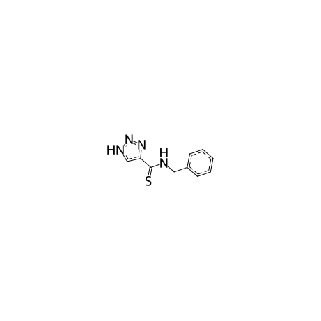 S=C(NCc1ccccc1)c1c[nH]nn1